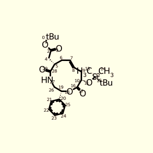 CC(C)(C)OC(=O)C[C@@H]1C/C=C/C[C@H](O[Si](C)(C)C(C)(C)C)C(=O)O[C@H](c2ccccc2)CNC1=O